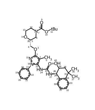 Cc1c(OC[C@H]2CN(C(=O)OC(C)(C)C)CCO2)nn(-c2ccccc2)c1NC(=O)N[C@@H]1c2ccccc2C(C)(C)CC1O